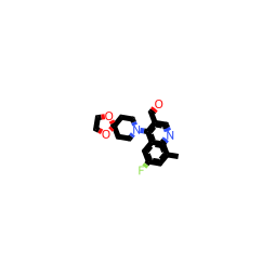 Cc1cc(F)cc2c(N3CCC4(CC3)OCCO4)c(C=O)cnc12